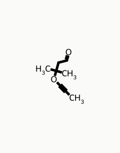 CC#COC(C)(C)CC=O